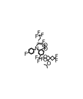 CC(C)OC(=O)C1(COc2cc3c(cc2C(F)(F)F)N(c2ccc(F)cc2)C[C@H](CCC(F)(F)F)[C@H](F)S3(=O)=O)CC(F)(F)C1